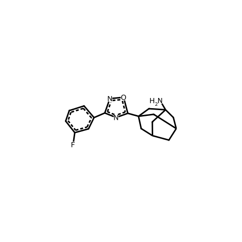 NC12CC3CC(C1)CC(c1nc(-c4cccc(F)c4)no1)(C3)C2